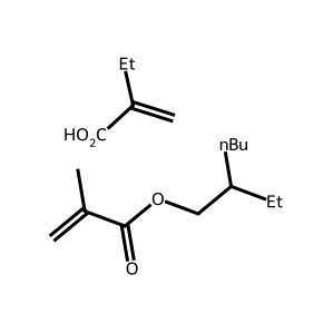 C=C(C)C(=O)OCC(CC)CCCC.C=C(CC)C(=O)O